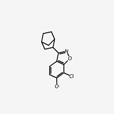 [O]c1ccc2c(C3CC4CCC3C4)noc2c1Cl